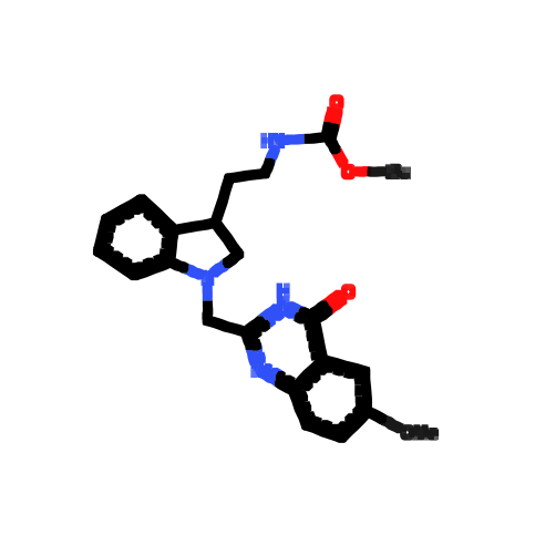 COc1ccc2nc(CN3CC(CCNC(=O)OC(C)(C)C)c4ccccc43)[nH]c(=O)c2c1